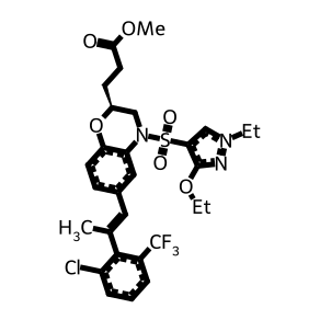 CCOc1nn(CC)cc1S(=O)(=O)N1C[C@H](CCC(=O)OC)Oc2ccc(/C=C(\C)c3c(Cl)cccc3C(F)(F)F)cc21